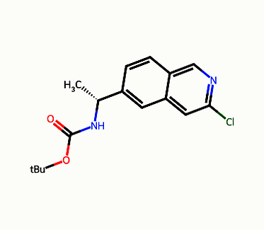 C[C@@H](NC(=O)OC(C)(C)C)c1ccc2cnc(Cl)cc2c1